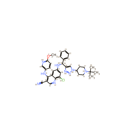 COc1ccc(Nc2c(C#N)cnc3c(Cl)cc(N[C@@H](c4ccccc4)c4cn(C5CCN(C(C)(C)C)CC5)nn4)cc23)cn1